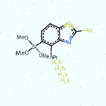 CCCc1c([Si](OC)(OC)OC)ccc2sc(S)nc12.S.S.S.S